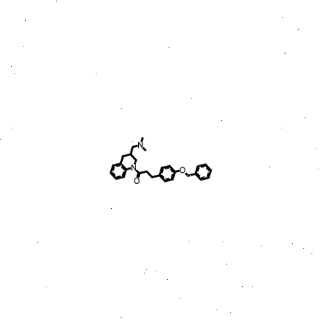 CN(C)CC1Cc2ccccc2N(C(=O)CCc2ccc(OCc3ccccc3)cc2)C1